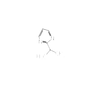 CC(C)c1ncccn1